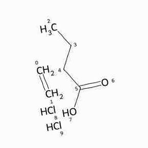 C=C.CCCC(=O)O.Cl.Cl